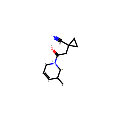 CC1C=CCN(C(=O)CC2(C#N)CC2)C1